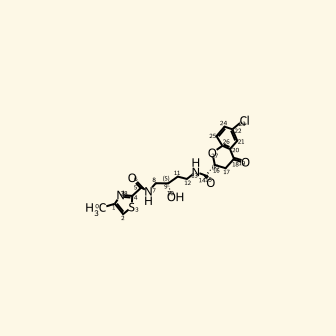 Cc1csc(C(=O)NC[C@@H](O)CCNC(=O)[C@H]2CC(=O)c3cc(Cl)ccc3O2)n1